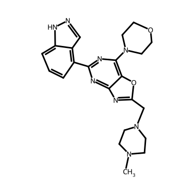 CN1CCN(Cc2nc3nc(-c4cccc5[nH]ncc45)nc(N4CCOCC4)c3o2)CC1